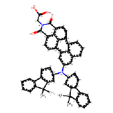 CC1(C)c2ccccc2-c2ccc(N(c3ccc4c(c3)C(C)(C)c3ccccc3-4)c3cc4cccc5c6ccc7c8c(ccc(c(c3)c45)c86)C(=O)N(CC(=O)O)C7=O)cc21